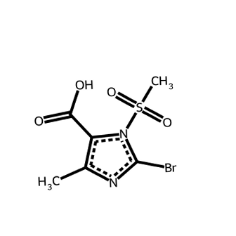 Cc1nc(Br)n(S(C)(=O)=O)c1C(=O)O